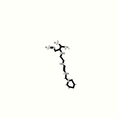 C=NCC(NCCN/C=C/NCN1CCCCC1)C(C)C